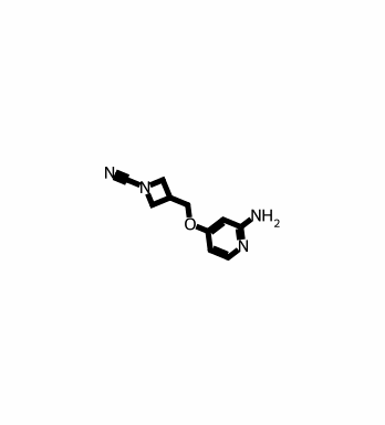 N#CN1CC(COc2ccnc(N)c2)C1